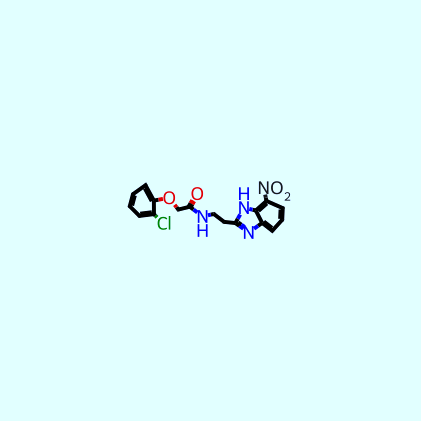 O=C(COc1ccccc1Cl)NCCc1nc2cccc([N+](=O)[O-])c2[nH]1